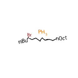 CCCCCCCCCCCCCCCC(Br)CCCC.P